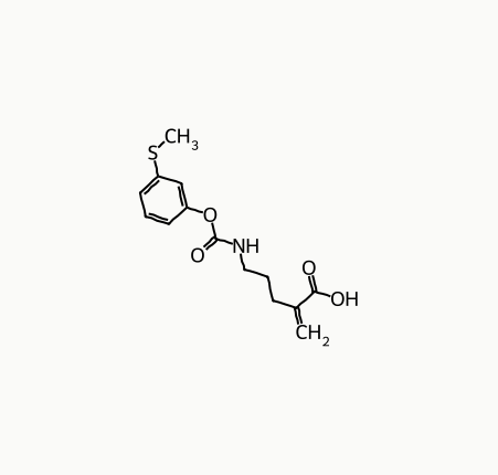 C=C(CCCNC(=O)Oc1cccc(SC)c1)C(=O)O